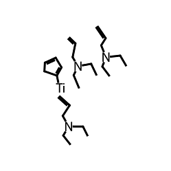 C=CCN(CC)CC.C=CCN(CC)CC.C=CCN(CC)CC.[Ti][C]1=CC=CC1